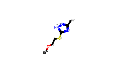 CCOCCSc1nc(C(C)C)n[nH]1